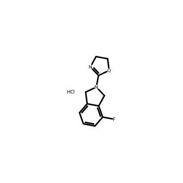 Cl.Fc1cccc2c1CN(C1=NCCO1)C2